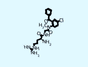 CN(C(=O)CNC(=O)[C@@H](N)CCCNC(=N)N)c1ccc(Cl)cc1C(=O)c1ccccc1